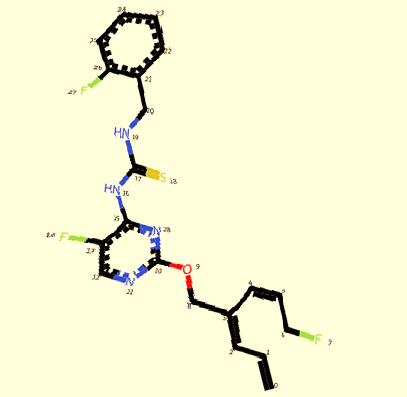 C=C/C=C(\C=C/CF)COc1ncc(F)c(NC(=S)NCc2ccccc2F)n1